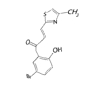 Cc1csc(C=CC(=O)c2cc(Br)ccc2O)n1